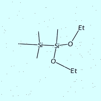 CCO[Si](C)(OCC)[Si](C)(C)C